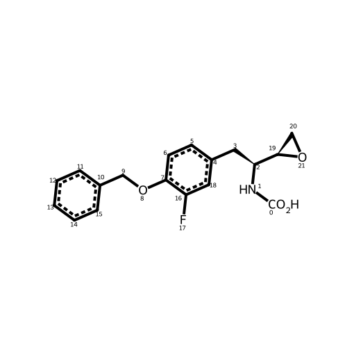 O=C(O)N[C@@H](Cc1ccc(OCc2ccccc2)c(F)c1)[C@H]1CO1